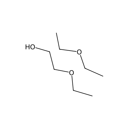 CCOCC.CCOCCO